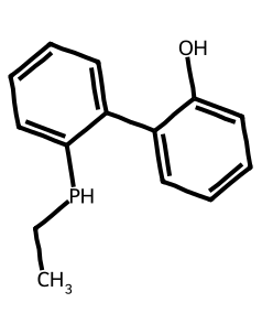 CCPc1ccccc1-c1ccccc1O